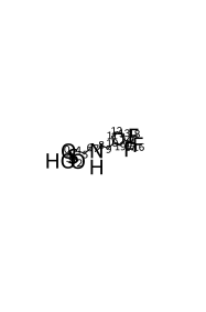 O=S(=O)(O)CCCNCCc1cccc(C(F)(F)F)c1